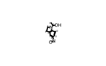 CC(O)N1CCc2cc(N=O)ccc21